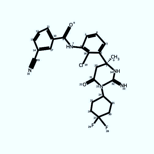 C[C@@]1(c2cccc(NC(=O)c3cccc(C#N)c3)c2Cl)CC(=O)N(C2CCC(F)(F)CC2)C(=N)N1